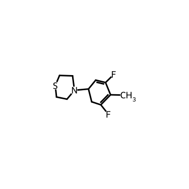 CC1=C(F)CC(N2CCSCC2)C=C1F